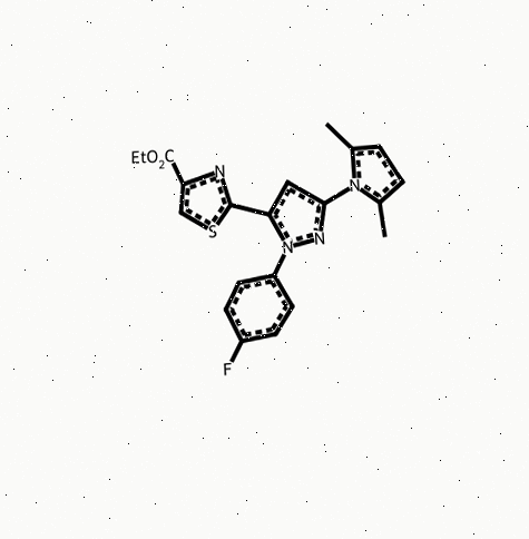 CCOC(=O)c1csc(-c2cc(-n3c(C)ccc3C)nn2-c2ccc(F)cc2)n1